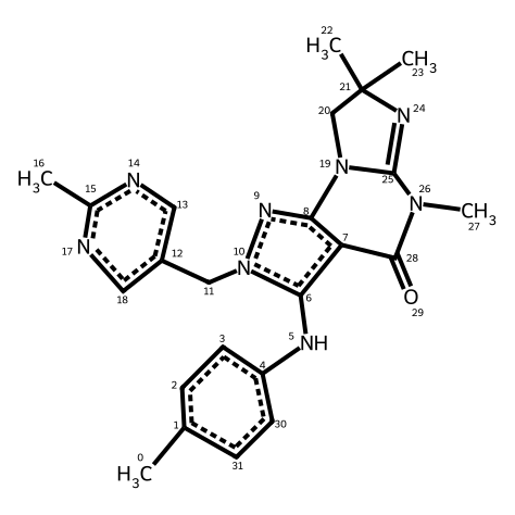 Cc1ccc(Nc2c3c(nn2Cc2cnc(C)nc2)N2CC(C)(C)N=C2N(C)C3=O)cc1